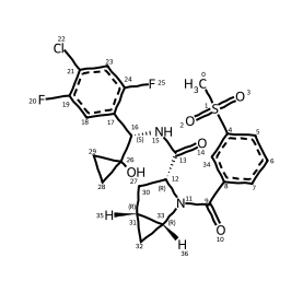 CS(=O)(=O)c1cccc(C(=O)N2[C@@H](C(=O)N[C@@H](c3cc(F)c(Cl)cc3F)C3(O)CC3)C[C@H]3C[C@H]32)c1